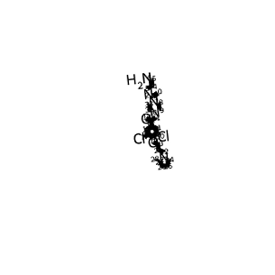 C=C(/N=C\C=C/N)N1CCN(CC(=O)c2cc(Cl)c(OCCCN3CCC[C@H]3C)c(Cl)c2)CC1